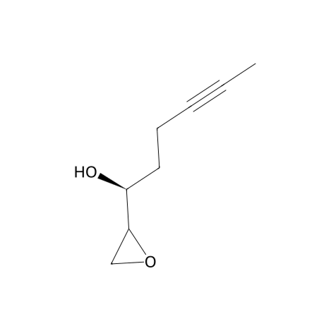 CC#CCC[C@H](O)C1CO1